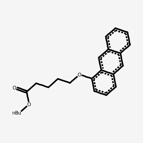 CCCCOC(=O)CCCCOc1cccc2cc3ccccc3cc12